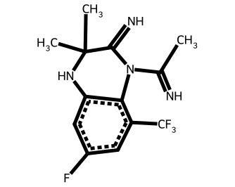 CC(=N)N1C(=N)C(C)(C)Nc2cc(F)cc(C(F)(F)F)c21